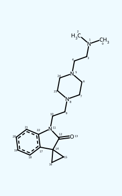 CN(C)CCN1CCN(CCN2C(=O)C3(CC3)c3ccccc32)CC1